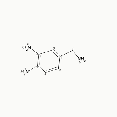 NCc1ccc(N)c([N+](=O)[O-])c1